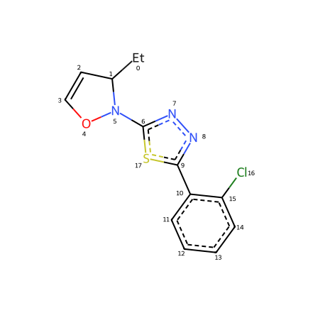 CCC1C=CON1c1nnc(-c2ccccc2Cl)s1